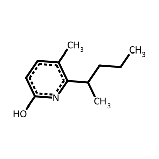 CCCC(C)c1nc(O)ccc1C